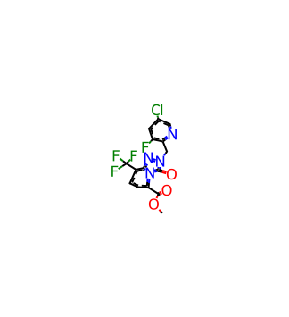 COC(=O)c1ccc(C(F)(F)F)c2nn(Cc3ncc(Cl)cc3F)c(=O)n12